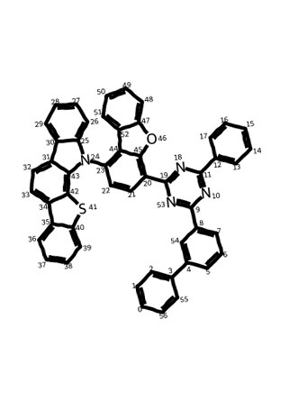 c1ccc(-c2cccc(-c3nc(-c4ccccc4)nc(-c4ccc(-n5c6ccccc6c6ccc7c8ccccc8sc7c65)c5c4oc4ccccc45)n3)c2)cc1